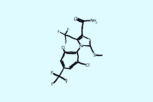 CSC1SC(C(N)=O)=C(C(F)(F)F)N1c1c(Cl)cc(C(F)(F)F)cc1Cl